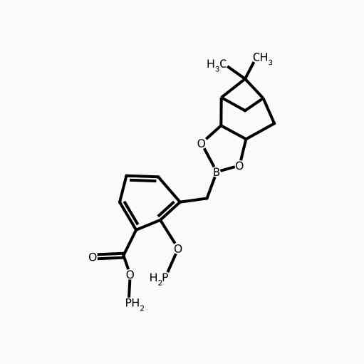 CC1(C)C2CC3OB(Cc4cccc(C(=O)OP)c4OP)OC3C1C2